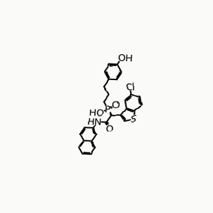 O=C(Nc1ccc2ccccc2c1)C(c1csc2ccc(Cl)cc12)P(=O)(O)CCCc1ccc(O)cc1